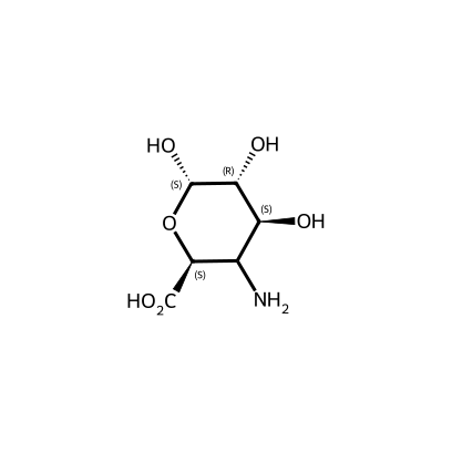 NC1[C@@H](C(=O)O)O[C@H](O)[C@H](O)[C@H]1O